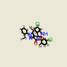 CCc1ccccc1-n1nc2c(c1CC)C1(C(=O)Nc3cc(Cl)ccc31)N(c1cc(Cl)ccc1C)C2=O